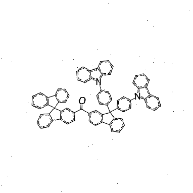 O=C(c1ccc2c(c1)C(c1ccc(-n3c4ccccc4c4ccccc43)cc1)(c1ccc(-n3c4ccccc4c4ccccc43)cc1)c1ccccc1-2)c1ccc2c(c1)C1(c3ccccc3-c3ccccc31)c1ccccc1-2